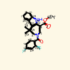 CC(C)OC(=O)C1=CN(C(=O)c2ccc(F)cc2F)CC(C)(C)c2c1[nH]c1ccccc21